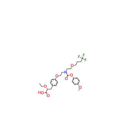 CCOC(Cc1ccc(OCCN(CCOCCCC(F)(F)F)C(=O)Oc2ccc(OC)cc2)cc1)C(=O)O